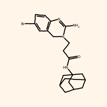 NC1=Nc2ccc(Br)cc2CN1CCC(=O)NC12CC3CC(CC(C3)C1)C2